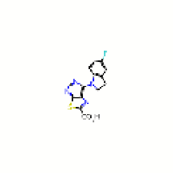 O=C(O)c1nc2c(N3CCc4cc(F)ccc43)ncnc2s1